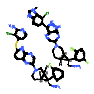 Cn1cnc2ccc(-c3n[nH]c4nc(N5CC[C@@H]6[C@H](C5)[C@@]6(CN)c5cc(F)ccc5F)cnc34)c(Cl)c21.NC[C@]1(c2ccccc2F)[C@@H]2CCN(c3cnc4nc(Sc5ccnc(N)c5Cl)ccc4n3)C[C@@H]21